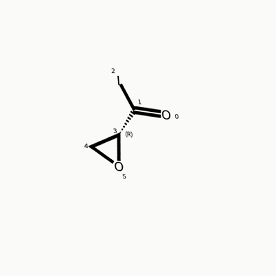 O=C(I)[C@H]1CO1